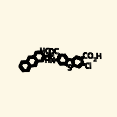 O=C(Nc1cc2sc3cc(Cl)c(C(=O)O)cc3c2cc1C(=O)O)c1ccc2cc3ccccc3cc2c1